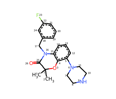 CC1(C)Oc2c(N3CCNCC3)cccc2N(Cc2cccc(F)c2)C1=O